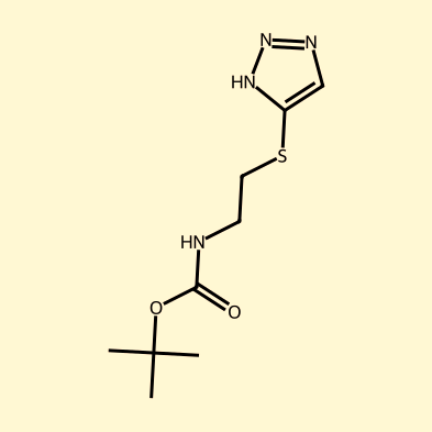 CC(C)(C)OC(=O)NCCSc1cnn[nH]1